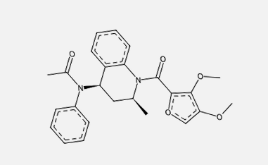 COc1coc(C(=O)N2c3ccccc3[C@H](N(C(C)=O)c3ccccc3)C[C@@H]2C)c1OC